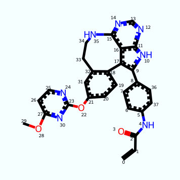 C=CC(=O)Nc1ccc(-c2[nH]c3ncnc4c3c2-c2ccc(Oc3nccc(OC)n3)cc2CCN4)cc1